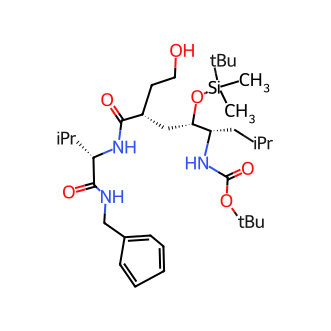 CC(C)C[C@H](NC(=O)OC(C)(C)C)[C@H](C[C@@H](CCO)C(=O)N[C@H](C(=O)NCc1ccccc1)C(C)C)O[Si](C)(C)C(C)(C)C